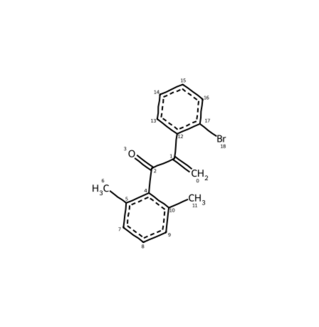 C=C(C(=O)c1c(C)cccc1C)c1ccccc1Br